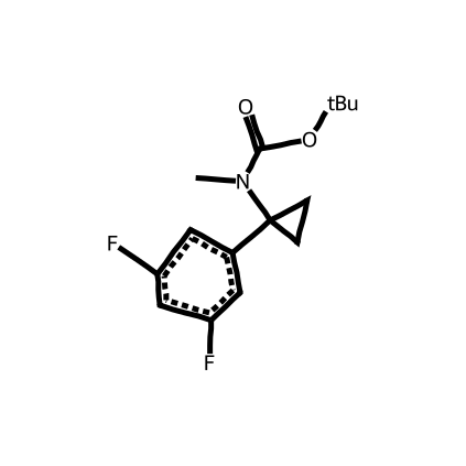 CN(C(=O)OC(C)(C)C)C1(c2cc(F)cc(F)c2)CC1